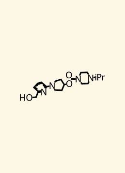 CC(C)N1CCN(C(=O)OC2CCN(c3cccc(CO)n3)CC2)CC1